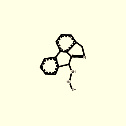 CC(C)NNC1C2=NCc3cccc(c32)-c2ccccc21